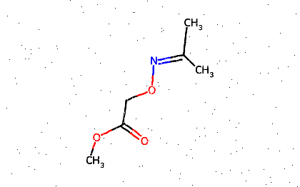 COC(=O)CON=C(C)C